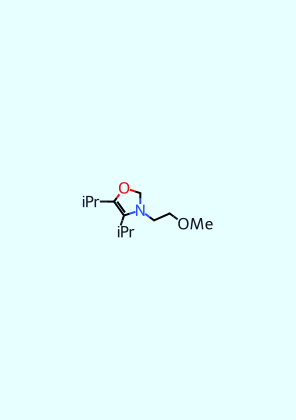 COCCN1COC(C(C)C)=C1C(C)C